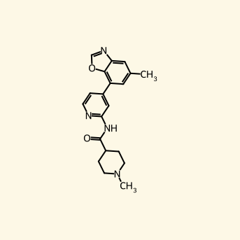 Cc1cc(-c2ccnc(NC(=O)C3CCN(C)CC3)c2)c2ocnc2c1